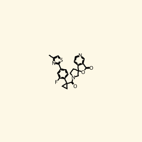 Cc1csc(-c2ccc(C3(C(=O)N4CCC5(C4)OC(=O)c4cnccc45)CC3)c(F)c2)n1